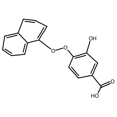 O=C(O)c1ccc(OOc2cccc3ccccc23)c(O)c1